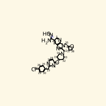 N/C(=N\O)c1cnc2c(c1)nc(CN1CCC(Oc3ccnc(Cc4ccc(Cl)cc4)n3)CC1)n2C[C@@H]1CCO1